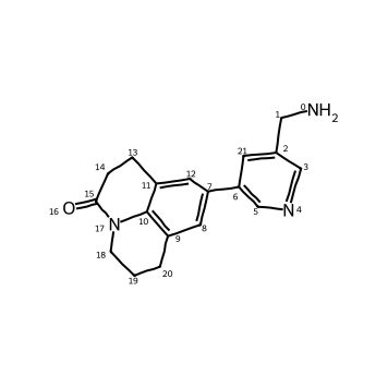 NCc1cncc(-c2cc3c4c(c2)CCC(=O)N4CCC3)c1